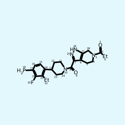 CCC(=O)N1CCc2c(C(=O)N3CCC(c4ccc(P)c(F)c4CC)CC3)n[nH]c2C1